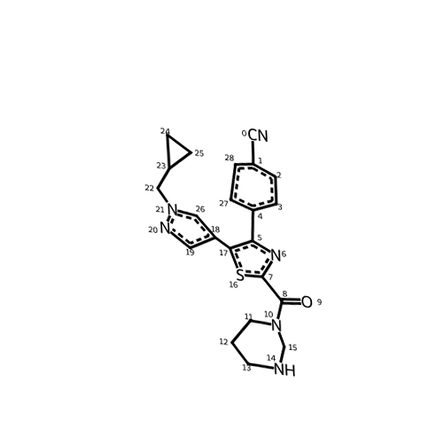 N#Cc1ccc(-c2nc(C(=O)N3CCCNC3)sc2-c2cnn(CC3CC3)c2)cc1